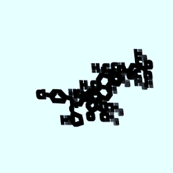 CC(C)C1=C2[C@H]3CC[C@@H]4[C@@]5(C)CC[C@H](OC(=O)CC(C)(C)C(=O)O)C(C)(C)[C@@H]5CC[C@@]4(C)[C@]3(C)CCC2([C@H](O)CN(Cc2ccc(Cl)cc2)C[C@H]2CCCN2)CC1=O